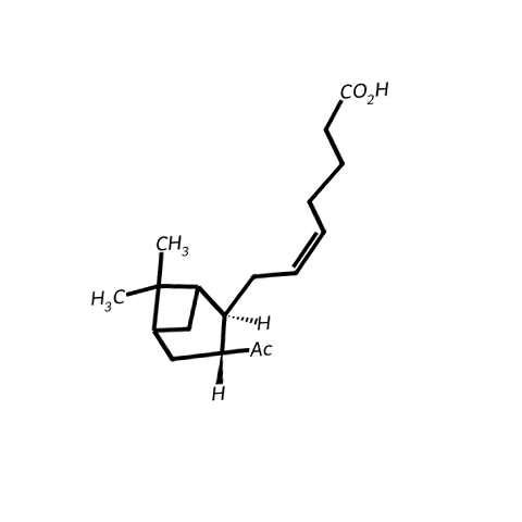 CC(=O)[C@@H]1CC2CC([C@H]1C/C=C\CCCC(=O)O)C2(C)C